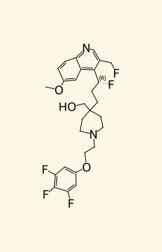 COc1ccc2ncc(CF)c([C@H](F)CCC3(CO)CCN(CCOc4cc(F)c(F)c(F)c4)CC3)c2c1